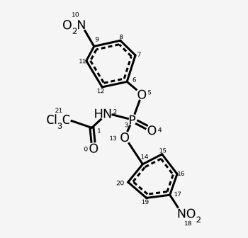 O=C(NP(=O)(Oc1ccc([N+](=O)[O-])cc1)Oc1ccc([N+](=O)[O-])cc1)C(Cl)(Cl)Cl